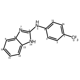 FC(F)(F)c1ccc(Nc2nc3ccccc3[nH]2)cc1